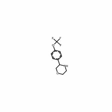 FC(F)(F)Oc1ccc(C2COCCN2)cc1